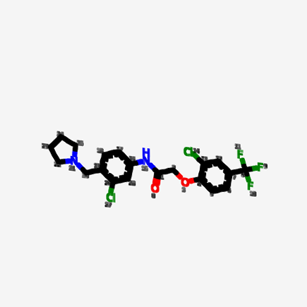 O=C(COc1ccc(C(F)(F)F)cc1Cl)Nc1ccc(CN2CCCC2)c(Cl)c1